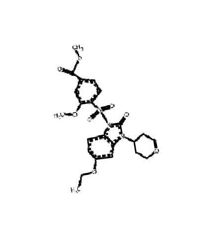 CCOc1ccc2c(c1)n(C1CCOCC1)c(=O)n2S(=O)(=O)c1ccc(C(=O)OC)cc1OC